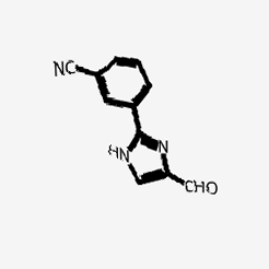 N#Cc1cccc(-c2nc(C=O)c[nH]2)c1